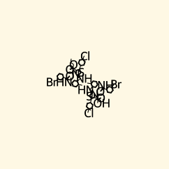 CCOC(=O)c1nc(Nc2cc(NC(=O)c3cccc(Br)c3)ccc2C)sc1-c1ccc(Cl)cc1.Cc1ccc(NC(=O)c2cccc(Br)c2)cc1Nc1nc(C(=O)O)c(-c2ccc(Cl)cc2)s1